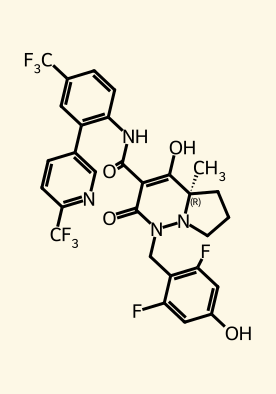 C[C@]12CCCN1N(Cc1c(F)cc(O)cc1F)C(=O)C(C(=O)Nc1ccc(C(F)(F)F)cc1-c1ccc(C(F)(F)F)nc1)=C2O